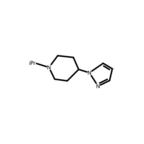 CC(C)N1CCC(n2c[c]cn2)CC1